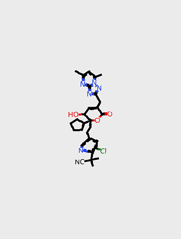 Cc1cc(C)n2nc(CC3=CC(O)C(CCc4cnc(C(C)(C)C#N)c(Cl)c4)(C4CCCC4)OC3=O)nc2n1